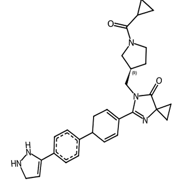 O=C(C1CC1)N1CC[C@@H](CN2C(=O)C3(CC3)N=C2C2=CCC(c3ccc(C4=CCNN4)cc3)C=C2)C1